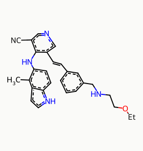 CCOCCNCc1cccc(/C=C/c2cncc(C#N)c2Nc2ccc3[nH]ccc3c2C)c1